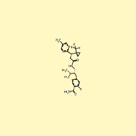 Cc1cnc([C@H](CC(=O)NC[C@H](Cc2ccc(C(N)=O)c(F)c2)N(C)C)C2(C(F)(F)F)CC2)nc1